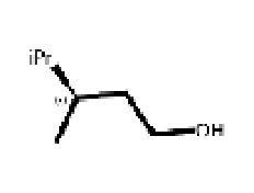 CC(C)[C@H](C)CCO